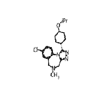 CC(C)O[C@H]1CC[C@H](c2nnc3n2-c2ccc(Cl)cc2CN(C)C3)CC1